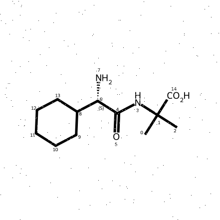 CC(C)(NC(=O)[C@@H](N)C1CCCCC1)C(=O)O